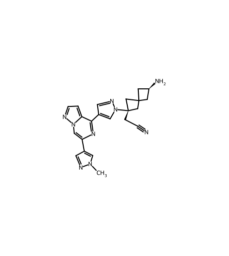 Cn1cc(-c2cn3nccc3c(-c3cnn([C@]4(CC#N)CC5(C[C@@H](N)C5)C4)c3)n2)cn1